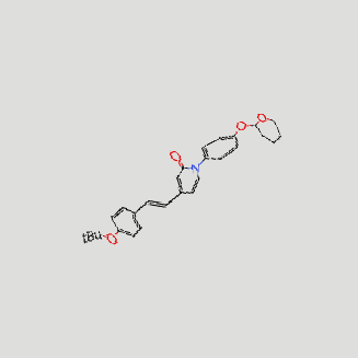 CC(C)(C)Oc1ccc(/C=C/c2ccn(-c3ccc(OC4CCCCO4)cc3)c(=O)c2)cc1